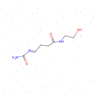 NC(=O)N=CCCC(=O)NCCO